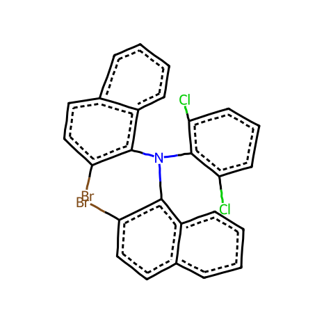 Clc1cccc(Cl)c1N(c1c(Br)ccc2ccccc12)c1c(Br)ccc2ccccc12